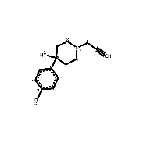 C#CCN1CCC(O)(c2ccc(Cl)cc2)CC1